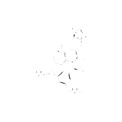 COc1cc(OC)cc(C(=O)[C@H]2[C@H](C)[C@@H](Cn3cncn3)C[C@H]3C(C)(C)CCC[C@]23C)c1